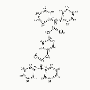 O=C(Oc1ccc(OC(=O)N(c2ccccc2)c2ccccc2)cc1)N(c1ccccc1)c1ccccc1